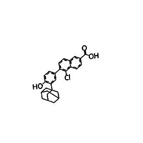 O=C(O)c1ccc2c(Cl)c(-c3ccc(O)c(C45CC6CC(CC(C6)C4)C5)c3)ccc2c1